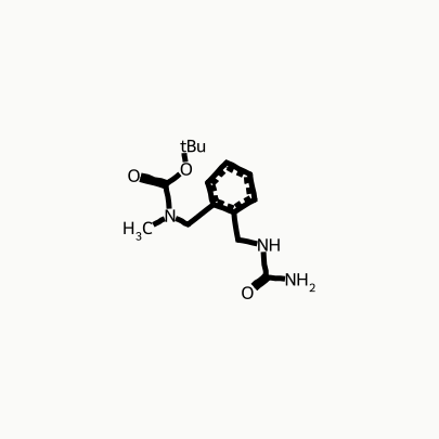 CN(Cc1ccccc1CNC(N)=O)C(=O)OC(C)(C)C